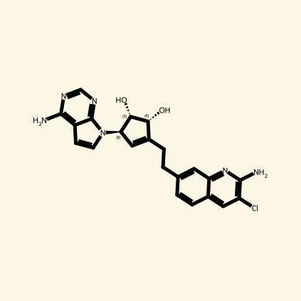 Nc1nc2cc(CCC3=C[C@@H](n4ccc5c(N)ncnc54)[C@H](O)[C@@H]3O)ccc2cc1Cl